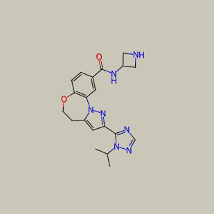 CC(C)n1ncnc1-c1cc2n(n1)-c1cc(C(=O)NC3CNC3)ccc1OCC2